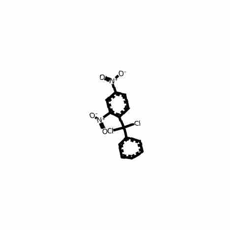 O=[N+]([O-])c1ccc(C(Cl)(Cl)c2ccccc2)c([N+](=O)[O-])c1